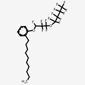 CCCCCCCCCCc1cc[c]cc1OC(F)C(F)(F)C(F)(F)OC(F)(F)C(F)(F)C(F)(F)C(F)(F)F